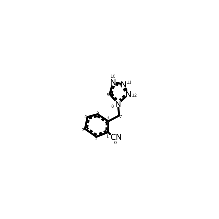 N#Cc1ccccc1Cn1cnnn1